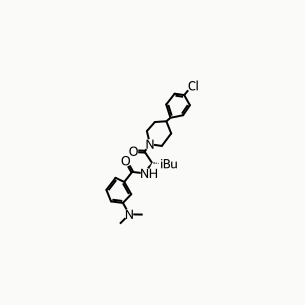 CC[C@@H](C)[C@@H](NC(=O)c1cccc(N(C)C)c1)C(=O)N1CCC(c2ccc(Cl)cc2)CC1